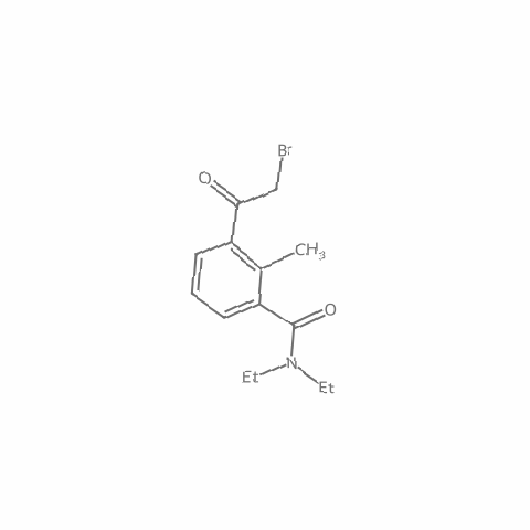 CCN(CC)C(=O)c1cccc(C(=O)CBr)c1C